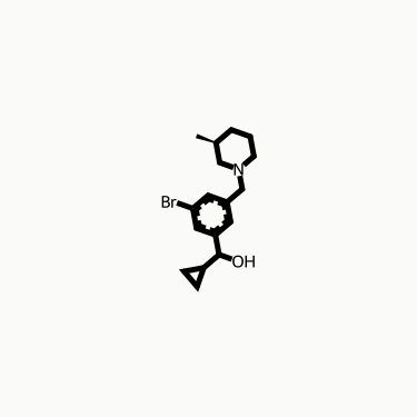 C[C@H]1CCCN(Cc2cc(Br)cc(C(O)C3CC3)c2)C1